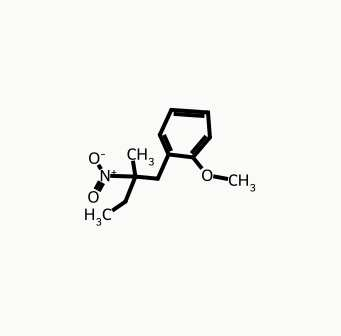 CCC(C)(Cc1ccccc1OC)[N+](=O)[O-]